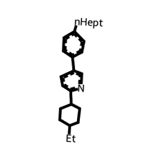 CCCCCCCc1ccc(-c2ccc(C3CCC(CC)CC3)nc2)cc1